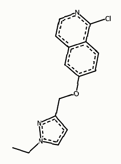 CCn1ccc(COc2ccc3c(Cl)nccc3c2)n1